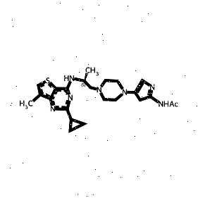 CC(=O)NC1=NC=C(N2CCN(C[C@H](C)Nc3nc(C4CC4)nc4c(C)csc34)CC2)C1